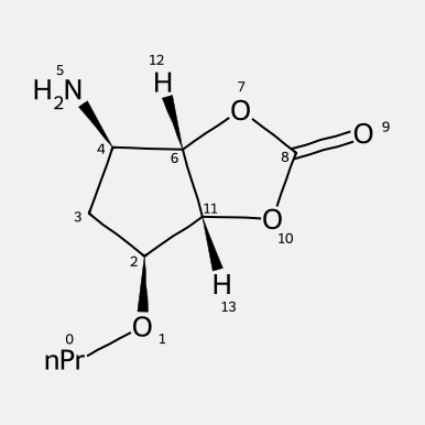 CCCO[C@H]1C[C@@H](N)[C@@H]2OC(=O)O[C@@H]21